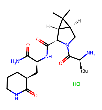 CC(C)(C)[C@H](N)C(=O)N1C[C@H]2[C@@H]([C@H]1C(=O)N[C@@H](C[C@@H]1CCCNC1=O)C(N)=O)C2(C)C.Cl